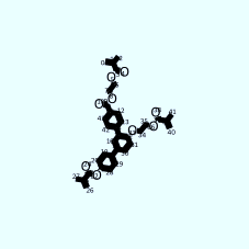 C=C(C)C(=O)OCCOC(=O)c1ccc(-c2cc(-c3ccc(OC(=O)C(=C)C)cc3)ccc2OCCOC(=O)C(=C)C)cc1